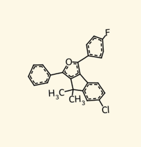 CC1(C)c2cc(Cl)ccc2-c2c(-c3ccc(F)cc3)oc(-c3ccccc3)c21